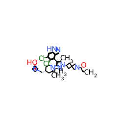 C=CC(=O)N1CC2(CC(n3nc(N4CC[C@@H](CN5CC6(O)CC5C6)CC4(C)C)c(-c4c(Cl)c(Cl)cc5[nH]ncc45)c3C)C2)C1